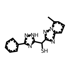 Cc1cccc2nc(C(S)c3nc(-c4ccccc4)n[nH]3)nn12